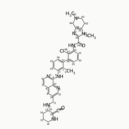 Cc1c(Nc2nccc3cc(CN[C@H]4CCCNC4=C=O)cnc23)cccc1-c1cccc(NC(=O)c2nc3c(n2C)CCN(C)C3)c1Cl